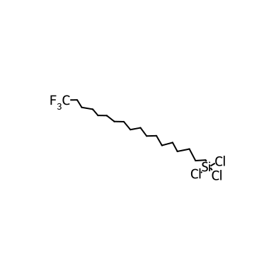 FC(F)(F)CCCCCCCCCCCCCCCCC[Si](Cl)(Cl)Cl